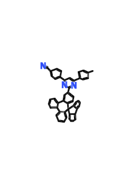 Cc1ccc(-c2cc(-c3ccc(C#N)cc3)nc(-c3ccc4c(c3)-c3ccccc3-c3ccccc3C43c4ccccc4-c4ccccc43)n2)cc1